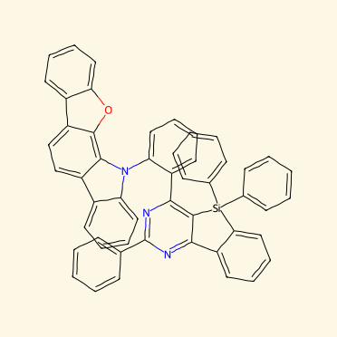 c1ccc(-c2nc(-c3ccccc3-n3c4ccccc4c4ccc5c6ccccc6oc5c43)c3c(n2)-c2ccccc2[Si]3(c2ccccc2)c2ccccc2)cc1